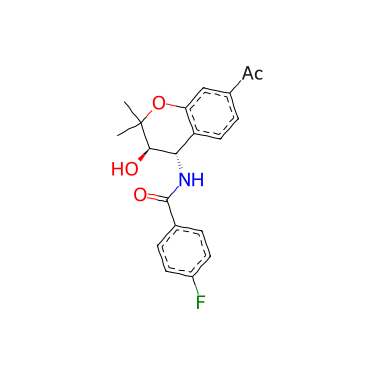 CC(=O)c1ccc2c(c1)OC(C)(C)[C@H](O)[C@H]2NC(=O)c1ccc(F)cc1